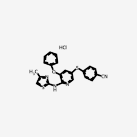 Cc1csc(Nc2ncc(Sc3ccc(C#N)cc3)cc2Oc2ccccc2)n1.Cl